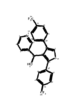 OC(c1cccnc1)c1c(-c2ccc(C(F)(F)F)cc2)csc1-c1ccc(C(F)(F)F)cc1